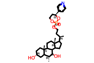 C[C@H](CCO[P@@]1(=O)OCC[C@@H](c2ccncc2)O1)C1CCC2C3C(CC[C@@]21C)[C@@]1(C)CC[C@@H](O)CC1[C@@H](C)[C@H]3O